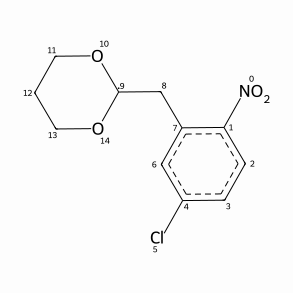 O=[N+]([O-])c1ccc(Cl)cc1C[C]1OCCCO1